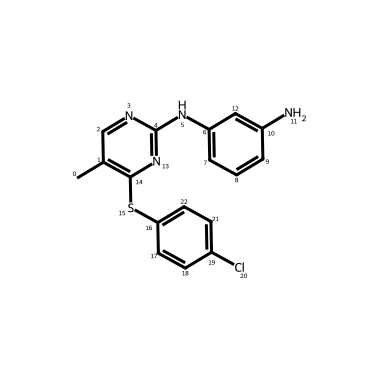 Cc1cnc(Nc2cccc(N)c2)nc1Sc1ccc(Cl)cc1